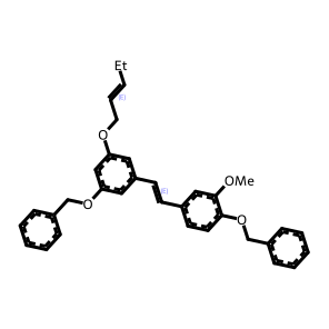 CC/C=C/COc1cc(/C=C/c2ccc(OCc3ccccc3)c(OC)c2)cc(OCc2ccccc2)c1